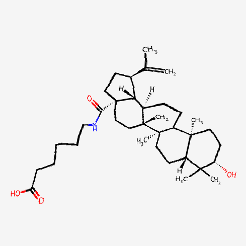 C=C(C)[C@@H]1CC[C@]2(C(=O)NCCCCCC(=O)O)CC[C@]3(C)[C@H](CCC4[C@@]5(C)CC[C@H](O)C(C)(C)[C@@H]5CC[C@]43C)[C@@H]12